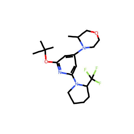 CC1COCCN1c1cc(OC(C)(C)C)nc(N2CCCCC2C(F)(F)F)c1